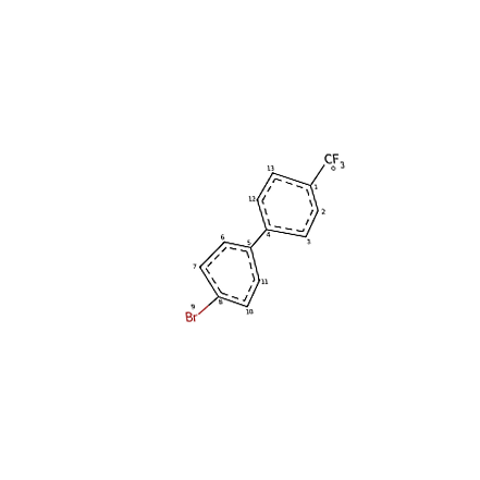 FC(F)(F)c1ccc(-c2ccc(Br)cc2)cc1